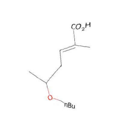 CCCCOC(C)CC=C(C)C(=O)O